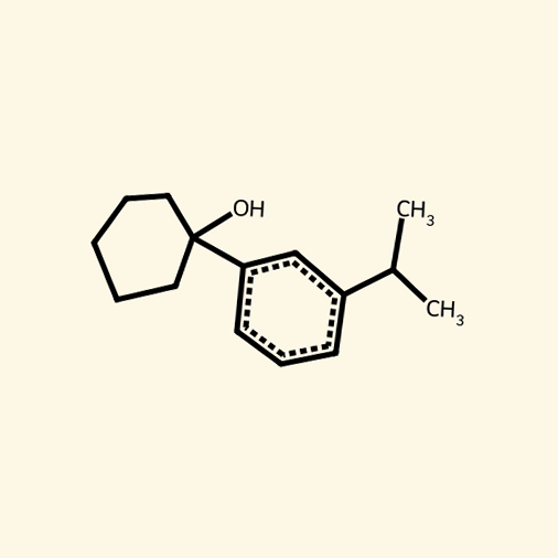 CC(C)c1cccc(C2(O)CCCCC2)c1